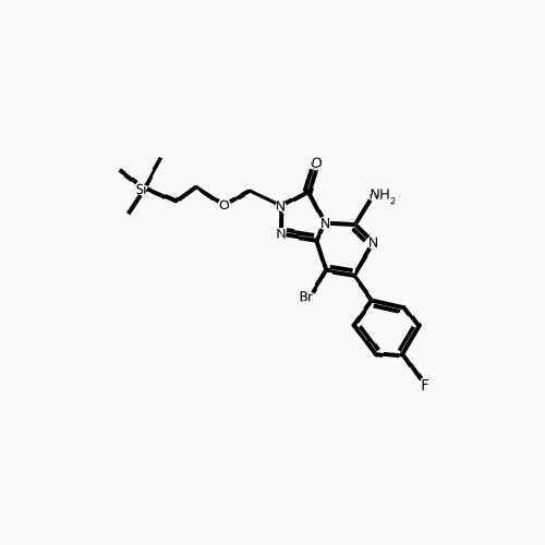 C[Si](C)(C)CCOCn1nc2c(Br)c(-c3ccc(F)cc3)nc(N)n2c1=O